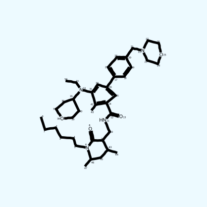 CCCCCCN1C(=O)C(CNC(=O)c2cc(-c3ccc(CN4CCOCC4)cc3)cc(N(CC)C3CCOCC3)c2C)C(C)CC1C